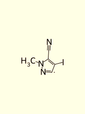 Cn1n[c]c(I)c1C#N